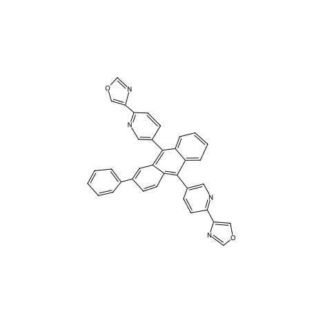 c1ccc(-c2ccc3c(-c4ccc(-c5cocn5)nc4)c4ccccc4c(-c4ccc(-c5cocn5)nc4)c3c2)cc1